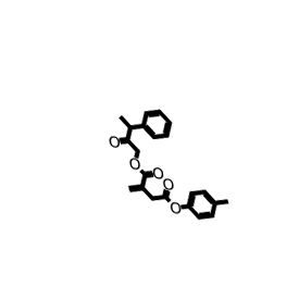 C=C(CC(=O)Oc1ccc(C)cc1)C(=O)OCC(=O)C(C)c1ccccc1